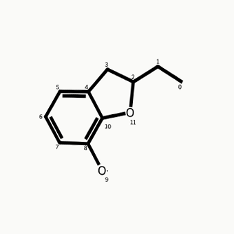 CCC1Cc2cccc([O])c2O1